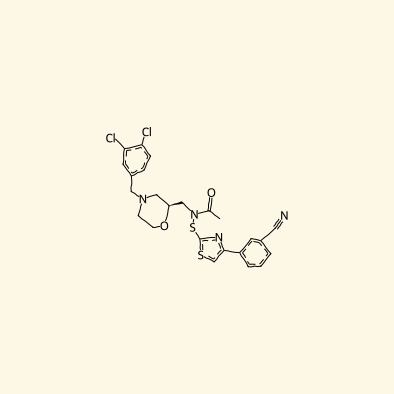 CC(=O)N(C[C@@H]1CN(Cc2ccc(Cl)c(Cl)c2)CCO1)Sc1nc(-c2cccc(C#N)c2)cs1